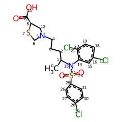 CC(CCCN1CS[C@@H](C(=O)O)C1)N(c1cc(Cl)ccc1Cl)S(=O)(=O)c1ccc(Cl)cc1